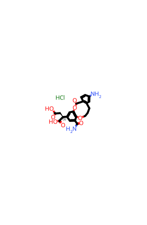 Cl.NC(=O)c1cc([C@H](CC(=O)O)C(=O)O)cc2c1OCCCc1cc(N)ccc1C(=O)O2